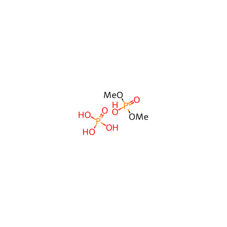 COP(=O)(O)OC.O=P(O)(O)O